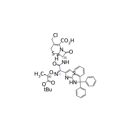 C[C@@H](O/N=C(\C(=O)N[C@H]1C(=O)N2C(C(=O)O)=C(CCl)CS[C@@H]12)c1csc(NC(c2ccccc2)(c2ccccc2)c2ccccc2)n1)C(=O)OC(C)(C)C